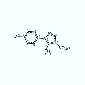 CCOC(=O)c1cnn(-c2ccc(Br)cc2)c1C